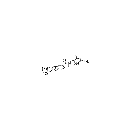 Cc1cc(N)nc(C)c1CNC(=O)c1ccc2c(c1)c1oc2c2cc3c(cc21)OCCO3